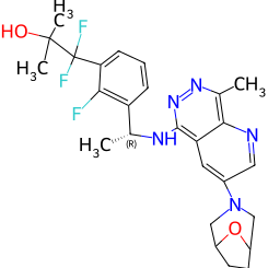 Cc1nnc(N[C@H](C)c2cccc(C(F)(F)C(C)(C)O)c2F)c2cc(N3CC4CCC(C3)O4)cnc12